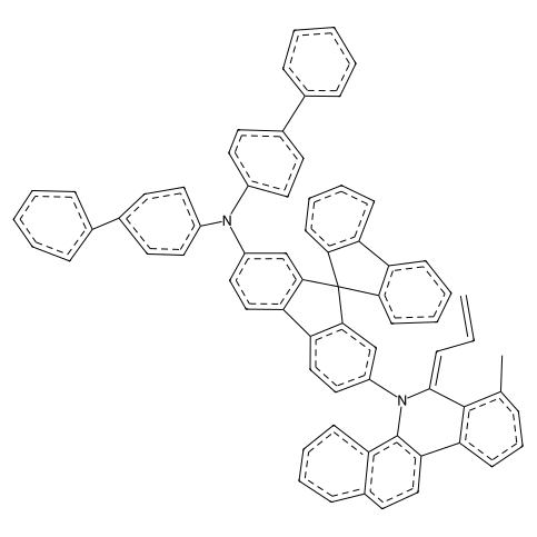 C=C/C=C1\c2c(C)cccc2-c2ccc3ccccc3c2N1c1ccc2c(c1)C1(c3ccccc3-c3ccccc31)c1cc(N(c3ccc(-c4ccccc4)cc3)c3ccc(-c4ccccc4)cc3)ccc1-2